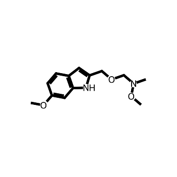 COc1ccc2cc(COCN(C)OC)[nH]c2c1